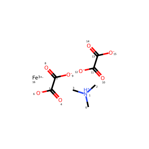 C[NH+](C)C.O=C([O-])C(=O)[O-].O=C([O-])C(=O)[O-].[Fe+3]